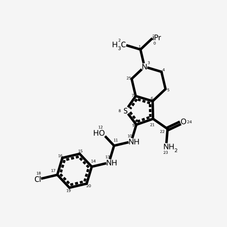 CC(C)C(C)N1CCc2c(sc(NC(O)Nc3ccc(Cl)cc3)c2C(N)=O)C1